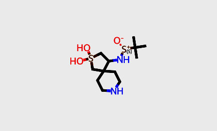 CC(C)(C)[S@@+]([O-])NC1CS(O)(O)CC12CCNCC2